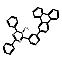 CN1C(c2cccc(-c3ccc4c5ccccc5c5ccccc5c4c3)c2)=NC(c2ccccc2)=NC1c1ccccc1